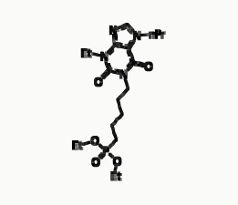 CCCn1cnc2c1c(=O)n(CCCCCP(=O)(OCC)OCC)c(=O)n2CC